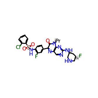 CC(C)n1c(=O)c(-c2ccc(NS(=O)(=O)c3ccccc3Cl)c(F)c2)nc2cnc(N[C@@H]3CNC[C@@H](F)C3)nc21